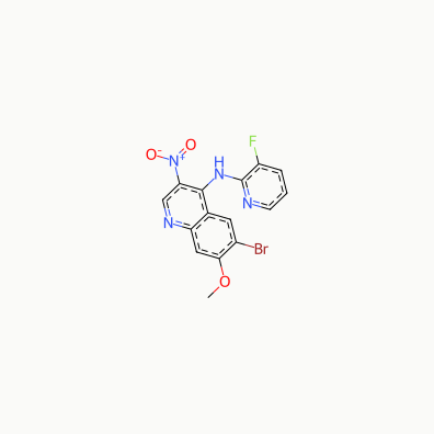 COc1cc2ncc([N+](=O)[O-])c(Nc3ncccc3F)c2cc1Br